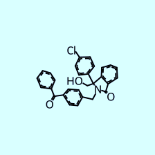 O=C(c1ccccc1)c1ccc(CN2C(=O)c3ccccc3C2(CO)c2ccc(Cl)cc2)cc1